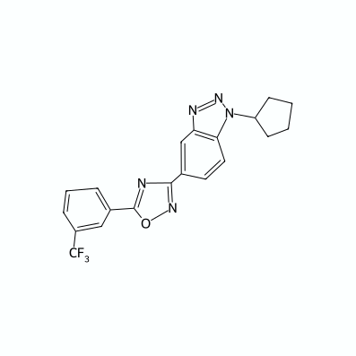 FC(F)(F)c1cccc(-c2nc(-c3ccc4c(c3)nnn4C3CCCC3)no2)c1